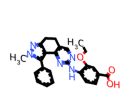 CCOc1cc(C(=O)O)ccc1Nc1ncc2c(n1)-c1c(nn(C)c1-c1ccccc1)CC2